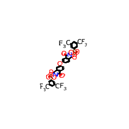 O=C1c2ccc(Oc3ccc4c(c3)C(=O)N(OS(=O)(=O)c3cc(C(F)(F)F)cc(C(F)(F)F)c3)C4=O)cc2C(=O)N1OS(=O)(=O)c1cc(C(F)(F)F)cc(C(F)(F)F)c1